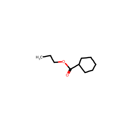 C[CH]COC(=O)C1CCCCC1